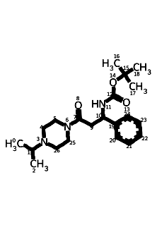 CC(C)N1CCN(C(=O)CC(NC(=O)OC(C)(C)C)c2ccccc2)CC1